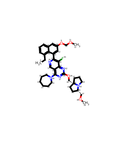 CCc1cccc2cc(OCOC)cc(-c3ncc4c(N5CCCCCC5)nc(OC[C@]56CCCN5[C@H](COC)CC6)nc4c3F)c12